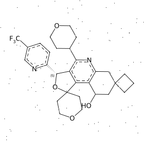 OC1CC2(CCC2)Cc2nc(C3CCOCC3)c3c(c21)C1(CCOCC1)O[C@@H]3c1ccc(C(F)(F)F)cn1